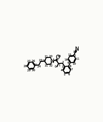 CC(Cc1ccccc1-c1ccc(C#N)cc1)C(=O)N1CCC(CCc2ccccc2)CC1